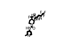 Cc1cc(NC(=O)N2CCC([C@](C)(F)S(=O)(=O)c3cc(C(F)(F)F)n[nH]3)CC2)ccn1